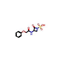 O=C(COc1ccccc1)NC1CN(S(=O)(=O)O)C1=O